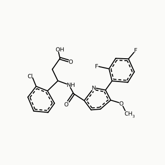 COc1ccc(C(=O)NC(CC(=O)O)c2ccccc2Cl)nc1-c1ccc(F)cc1F